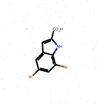 O=C(O)c1cc2cc(Br)cc(Br)c2[nH]1